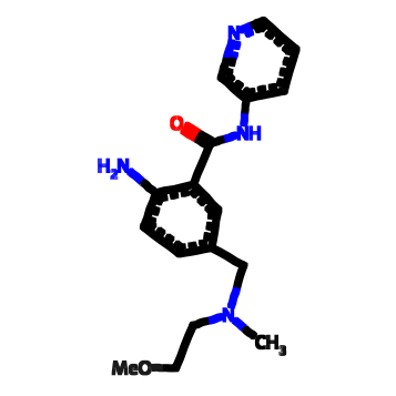 COCCN(C)Cc1ccc(N)c(C(=O)Nc2cccnc2)c1